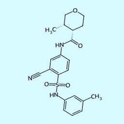 Cc1cccc(NS(=O)(=O)c2ccc(NC(=O)[C@H]3CCOC[C@H]3C)cc2C#N)c1